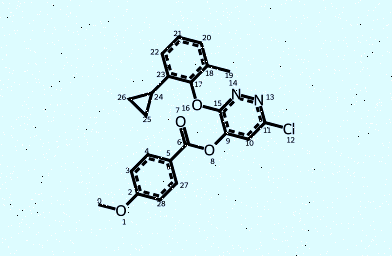 COc1ccc(C(=O)Oc2cc(Cl)nnc2Oc2c(C)cccc2C2CC2)cc1